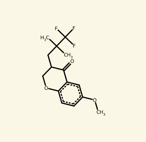 COc1ccc2c(c1)C(=O)C(CC(C)(C)C(F)(F)F)CO2